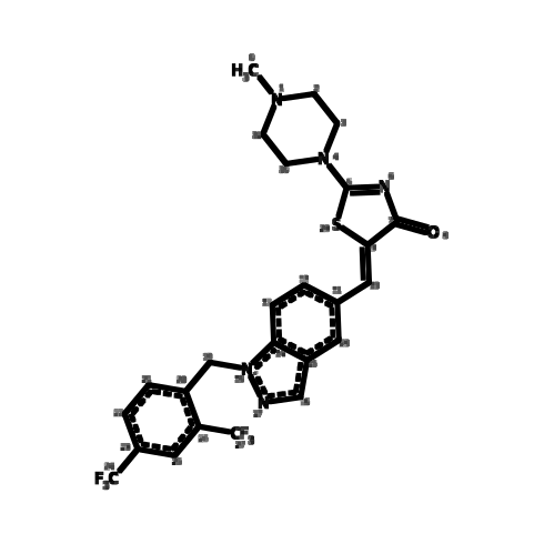 CN1CCN(C2=NC(=O)/C(=C/c3ccc4c(cnn4Cc4ccc(C(F)(F)F)cc4C(F)(F)F)c3)S2)CC1